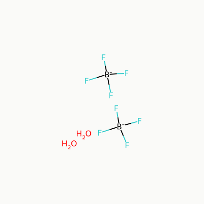 F[B-](F)(F)F.F[B-](F)(F)F.O.O